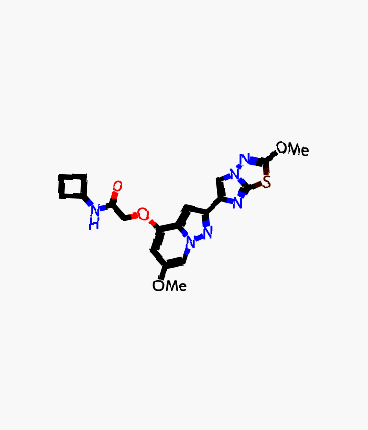 COc1cc(OCC(=O)NC2CCC2)c2cc(-c3cn4nc(OC)sc4n3)nn2c1